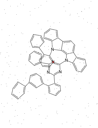 c1ccc(-c2cccc(-c3ccccc3-c3nc(-c4ccccc4)nc(-n4c5ccccc5c5ccc6c7ccccc7n(-c7ccccc7-c7ccccc7)c6c54)n3)c2)cc1